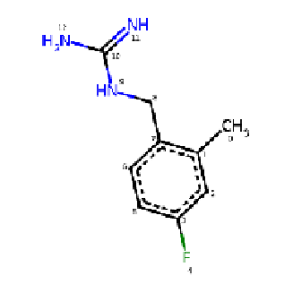 Cc1cc(F)ccc1CNC(=N)N